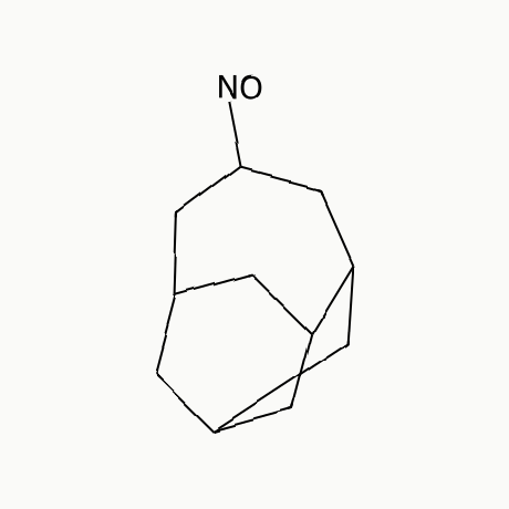 O=NC1CC2CC3CC(C2)C(C3)C1